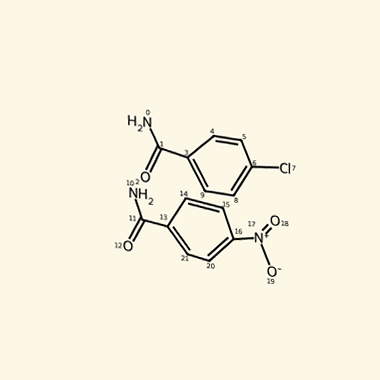 NC(=O)c1ccc(Cl)cc1.NC(=O)c1ccc([N+](=O)[O-])cc1